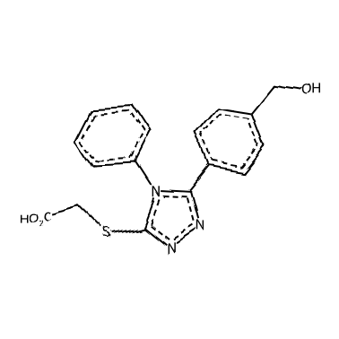 O=C(O)CSc1nnc(-c2ccc(CO)cc2)n1-c1ccccc1